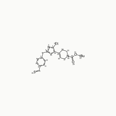 CCc1nn(Cc2ccc(C=S)cc2)cc1C1=CCN(C(=O)OC(C)(C)C)CC1